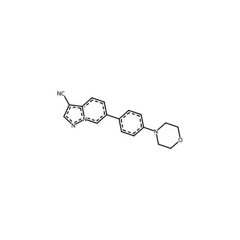 N#Cc1cnn2cc(-c3ccc(N4CCOCC4)cc3)ccc12